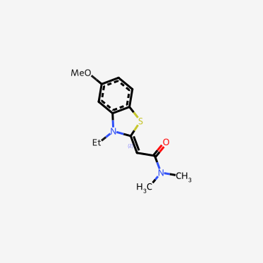 CCN1/C(=C/C(=O)N(C)C)Sc2ccc(OC)cc21